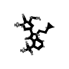 COc1cc(-c2c(F)c3c(S(C)(=O)=O)cccc3n2CCC2CC2)cn(C)c1=O